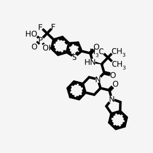 CC(C)(C)[C@H](NC(=O)c1cc2cc(C(F)(F)P(=O)(O)O)ccc2s1)C(=O)N1Cc2ccccc2CC1C(=O)N1Cc2ccccc2C1